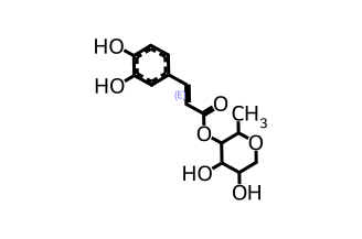 CC1OCC(O)C(O)C1OC(=O)/C=C/c1ccc(O)c(O)c1